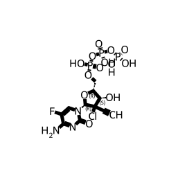 C#CC1(Cl)[C@@H](O)[C@@H](COP(=O)(O)OP(=O)(O)OP(=O)(O)O)O[C@H]1n1cc(F)c(N)nc1=O